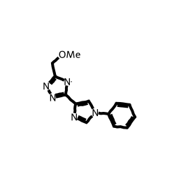 COCC1=NN=C(c2cn(-c3ccccc3)cn2)[N]1